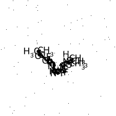 CC(C)C(=O)OCCOc1cc2nc(-c3nnc4ccc([C@@H](N5CCC(NC(=O)OC(C)(C)C)C5)C(F)(F)F)cn34)ccc2cc1F